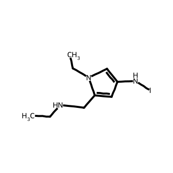 CCNCc1cc(NI)cn1CC